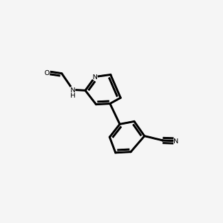 N#Cc1cccc(-c2ccnc(NC=O)c2)c1